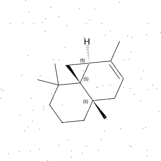 CC1=CC[C@]2(C)CCCC(C)(C)[C@@]23C[C@@H]13